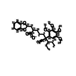 CCC(CC)C(C#N)(CCCC(CC1Oc2ccccc2O1)[N+](=O)[O-])c1cc(OC)c(OC)c(OC)c1OC